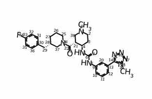 CN1CC[C@@H](NC(=O)Nc2cccc(-c3nnnn3C)c2)[C@H](C(=O)N2CCC[C@@H](Cc3ccc(F)cc3)C2)C1